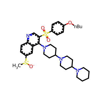 CCCCOc1ccc(S(=O)(=O)c2cnc3ccc([S+](C)[O-])cc3c2N2CCC(N3CCC(N4CCCCC4)CC3)CC2)cc1